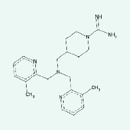 Cc1cccnc1CN(Cc1ncccc1C)CC1CCN(C(=N)N)CC1